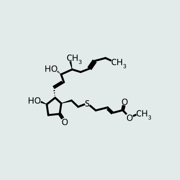 CCC#CC[C@H](C)[C@@H](O)/C=C/[C@H]1[C@H](O)CC(=O)[C@@H]1CCSC/C=C/C(=O)OC